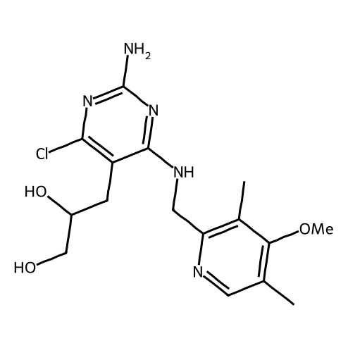 COc1c(C)cnc(CNc2nc(N)nc(Cl)c2CC(O)CO)c1C